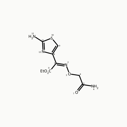 CCOC(=O)C(=NOCC(N)=O)c1csc(N)n1